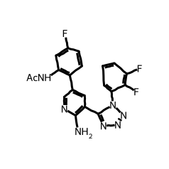 CC(=O)Nc1cc(F)ccc1-c1cnc(N)c(-c2nnnn2-c2cccc(F)c2F)c1